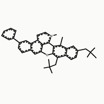 Cc1c2c(c(CC(C)(C)C)c3ccc(CC(C)(C)C)cc13)Oc1cc3ccc(-c4ccccc4)cc3c3cc[n+](C)c-2c13